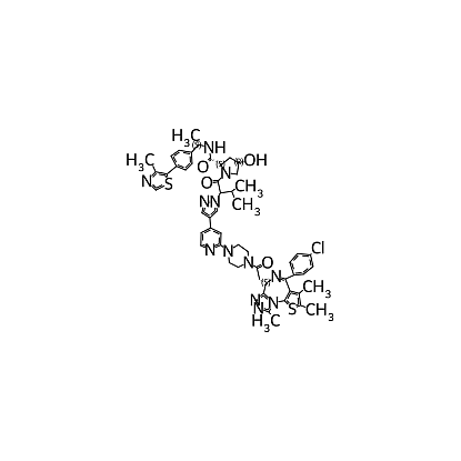 Cc1ncsc1-c1ccc([C@H](C)NC(=O)[C@@H]2C[C@@H](O)CN2C(=O)C(C(C)C)n2cc(-c3ccnc(N4CCN(C(=O)C[C@@H]5N=C(c6ccc(Cl)cc6)c6c(sc(C)c6C)-n6c(C)nnc65)CC4)c3)cn2)cc1